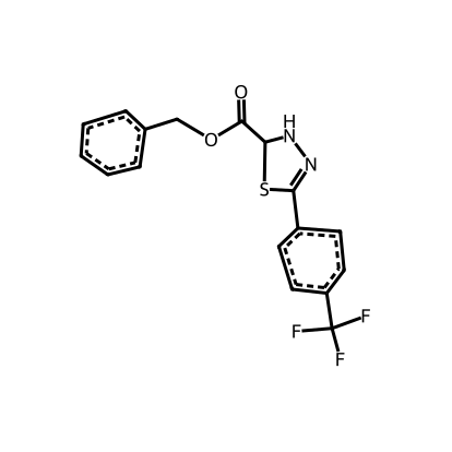 O=C(OCc1ccccc1)C1NN=C(c2ccc(C(F)(F)F)cc2)S1